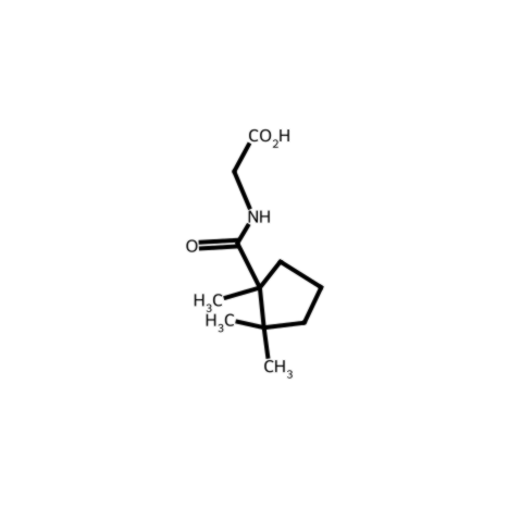 CC1(C)CCCC1(C)C(=O)NCC(=O)O